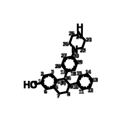 Oc1ccc2c(c1)CC[C@H](c1ccccc1)[C@@H]2c1ccc(N2CCNCC2)cc1